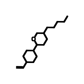 C=CC1CCC(C2CCC(CCCCC)CO2)CC1